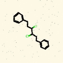 ClC(CCc1ccccc1)C(Cl)CCc1ccccc1